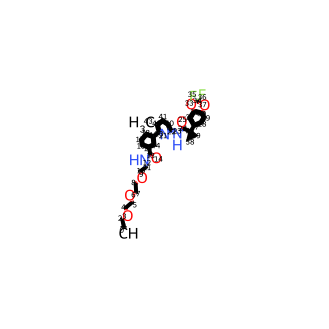 C#CCOCCOCCOCCNC(=O)c1cccc(-c2nc(NC(=O)C3(c4ccc5c(c4)OC(F)(F)O5)CC3)ccc2C)c1